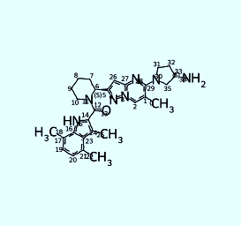 Cc1cn2nc([C@@H]3CCCCN3C(=O)c3[nH]c4c(C)ccc(C)c4c3C)cc2nc1N1CC[C@H](N)C1